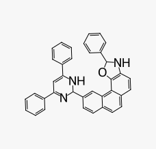 C1=C(c2ccccc2)NC(c2ccc3ccc4ccc5c(c4c3c2)OC(c2ccccc2)N5)N=C1c1ccccc1